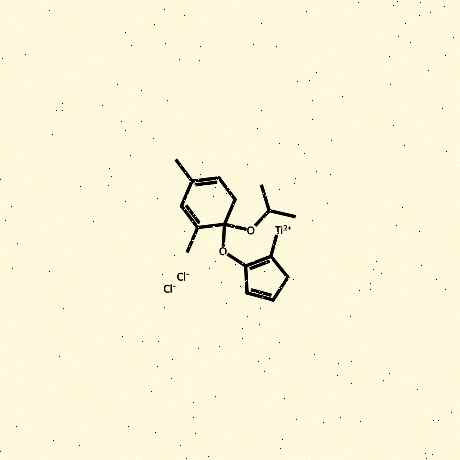 CC1=CCC(OC2=[C]([Ti+2])CC=C2)(OC(C)C)C(C)=C1.[Cl-].[Cl-]